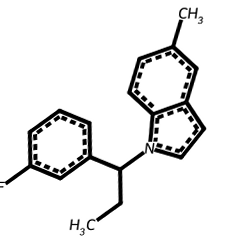 CCC(c1cccc(F)c1)n1ccc2cc(C)ccc21